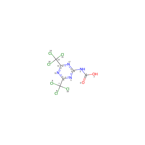 O=C(O)Nc1nc(C(Cl)(Cl)Cl)nc(C(Cl)(Cl)Cl)n1